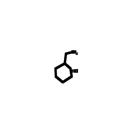 BCC1CCCCC1.Cl